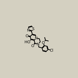 CC(C)Oc1cc(Cl)ccc1CN1CCn2cc(-c3nccs3)c(=O)c(O)c2C1=O